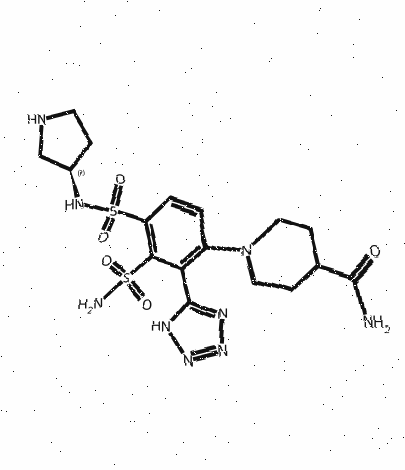 NC(=O)C1CCN(c2ccc(S(=O)(=O)N[C@@H]3CCNC3)c(S(N)(=O)=O)c2-c2nnn[nH]2)CC1